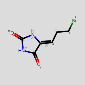 O=C1NC(=O)/C(=C/CCBr)N1